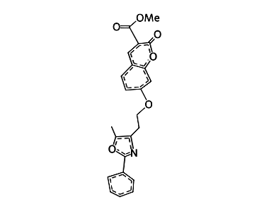 COC(=O)c1cc2ccc(OCCc3nc(-c4ccccc4)oc3C)cc2oc1=O